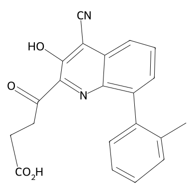 Cc1ccccc1-c1cccc2c(C#N)c(O)c(C(=O)CCC(=O)O)nc12